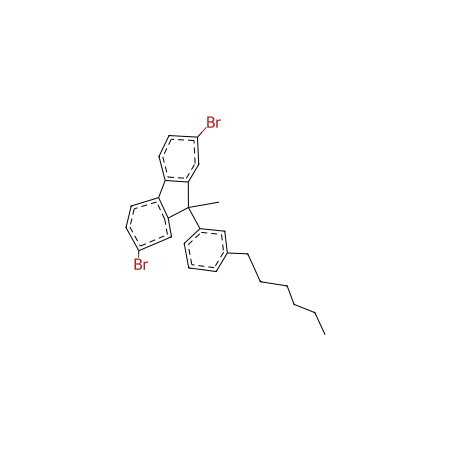 CCCCCCc1cccc(C2(C)c3cc(Br)ccc3-c3ccc(Br)cc32)c1